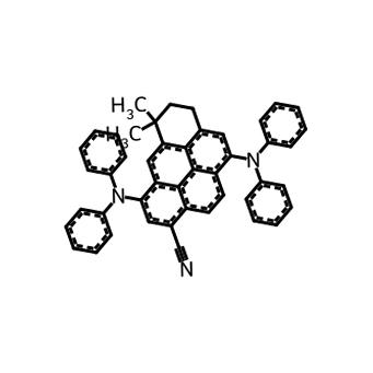 CC1(C)CCc2cc(N(c3ccccc3)c3ccccc3)c3ccc4c(C#N)cc(N(c5ccccc5)c5ccccc5)c5cc1c2c3c45